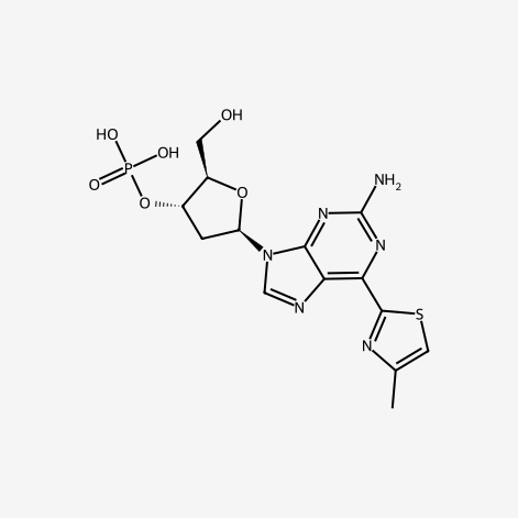 Cc1csc(-c2nc(N)nc3c2ncn3[C@H]2C[C@H](OP(=O)(O)O)[C@@H](CO)O2)n1